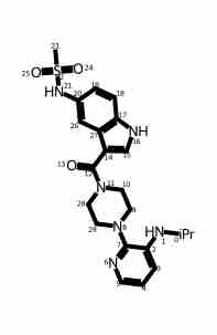 CC(C)Nc1cccnc1N1CCN(C(=O)c2c[nH]c3ccc(NS(C)(=O)=O)cc23)CC1